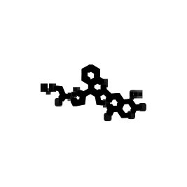 NCC(=O)n1ccc(-c2c3c(nc4ccccc24)-c2cc4c(c(=O)n2C3)COC(=O)[C@H]4O)n1